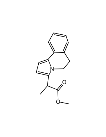 COC(=O)C(C)c1ccc2n1CCc1ccccc1-2